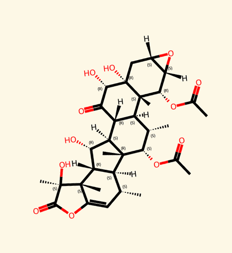 CC(=O)O[C@H]1[C@@H](C)[C@H]2[C@@H](C(=O)[C@H](O)[C@@]3(O)C[C@@H]4O[C@@H]4[C@H](OC(C)=O)[C@]23C)[C@@H]2[C@@H](O)[C@@H]3[C@H]([C@H](C)C=C4OC(=O)[C@@](C)(O)[C@@]43C)[C@]21C